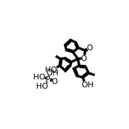 Cc1cc(C2(c3ccc(O)c(C)c3)OC(=O)c3ccccc32)ccc1O.O=P(O)(O)O